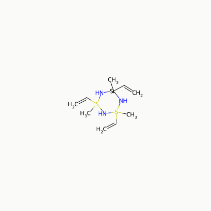 C=C[Si]1(C)NS(C)(C=C)NS(C)(C=C)N1